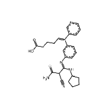 N#CC(C(N)=O)C(=Nc1cccc(/C(=C\CCCC(=O)O)c2cccnc2)c1)NC1CCCC1